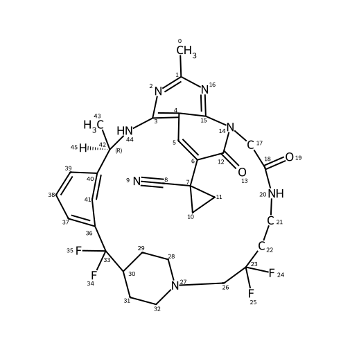 Cc1nc2c3cc(C4(C#N)CC4)c(=O)n(c3n1)CC(=O)NCCC(F)(F)CN1CCC(CC1)C(F)(F)c1cccc(c1)[C@@H](C)N2